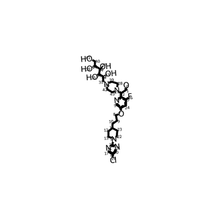 O=CC(c1ncc(OCCCC2CCN(c3ncc(Cl)cn3)CC2)cc1F)N1CCN(C[C@H](O)[C@@H](O)[C@H](O)[C@H](O)CO)CC1